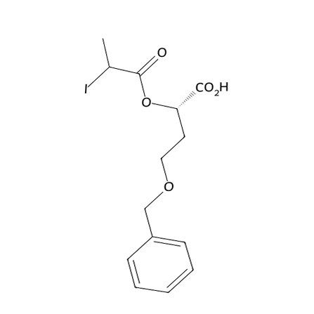 CC(I)C(=O)O[C@@H](CCOCc1ccccc1)C(=O)O